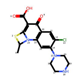 CC1Sc2c(C(=O)O)c(=O)c3cc(Cl)c(N4CCNCC4)cc3n21